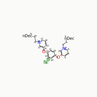 CCCCCCCCCCCC[n+]1cccc(Oc2ccc(Oc3ccc[n+](CCCCCCCCCCCC)c3)cc2)c1.[Br-].[Br-]